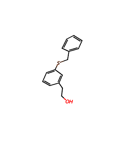 OCCc1cccc(SCc2ccccc2)c1